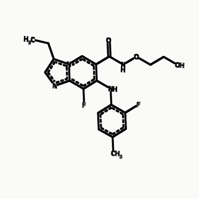 CCc1cnc2c(F)c(Nc3ccc(C)cc3F)c(C(=O)NOCCO)cn12